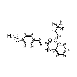 COc1ccc(/C=C/C(=O)Nc2ccccc2OCCC(F)(F)F)cc1